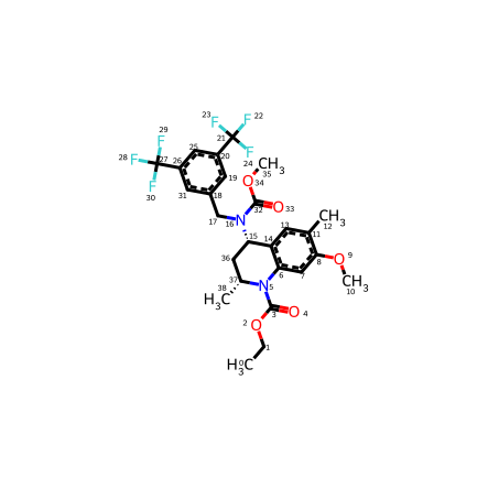 CCOC(=O)N1c2cc(OC)c(C)cc2[C@@H](N(Cc2cc(C(F)(F)F)cc(C(F)(F)F)c2)C(=O)OC)C[C@H]1C